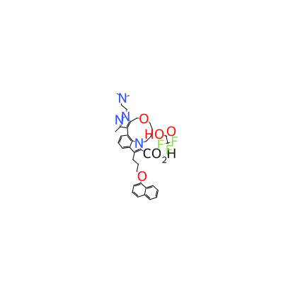 Cc1nn(CCN(C)C)c2c1-c1cccc3c(CCCOc4cccc5ccccc45)c(C(=O)O)n(c13)CCCCOC2.O=C(O)C(F)(F)F